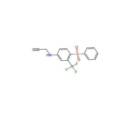 C#CCNc1ccc(S(=O)(=O)c2ccccc2)c(C(F)(F)F)c1